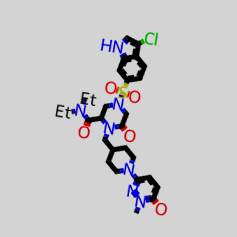 CCN(CC)C(=O)C1CN(S(=O)(=O)c2ccc3c(Cl)c[nH]c3c2)CC(=O)N1CC1CCN(c2ccc(=O)n(C)n2)CC1